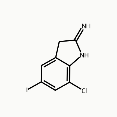 N=C1Cc2cc(I)cc(Cl)c2N1